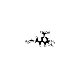 CCOC(=O)C(=O)C1CN(C(=O)O)CC(C)(C)C1=O